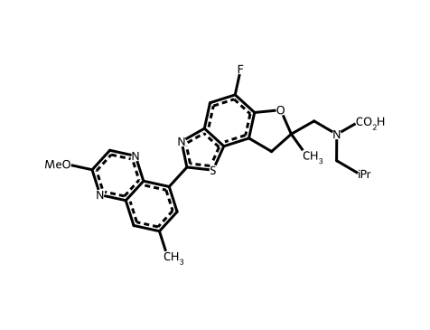 COc1cnc2c(-c3nc4cc(F)c5c(c4s3)CC(C)(CN(CC(C)C)C(=O)O)O5)cc(C)cc2n1